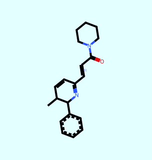 CC1C=CC(/C=C/C(=O)N2CCCCC2)=NC1c1ccccc1